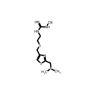 CN(C)Cc1nc(CSCCNC(=N)NC#N)cs1